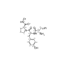 CCNC(=O)[C@@H]1CCCN1C(=O)[C@H](Cc1ccc(O)cc1)NC(=O)[C@@H](N)CC(C)C